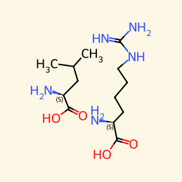 CC(C)C[C@H](N)C(=O)O.N=C(N)NCCCC[C@H](N)C(=O)O